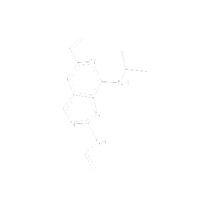 C=Cc1cc2cnc(NC=O)nc2c(NC(C)C)n1